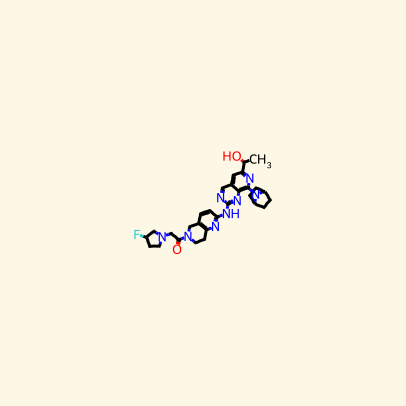 CC(O)c1cc2cnc(Nc3ccc4c(n3)CCN(C(=O)CN3CCC(F)C3)C4)nc2c(N2C3CCC2CC3)n1